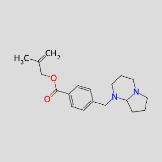 C=C(C)COC(=O)c1ccc(CN2CCCN3CCCC32)cc1